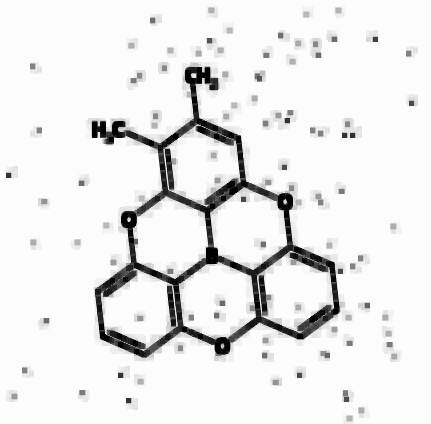 Cc1cc2c3c(c1C)Oc1cccc4c1B3c1c(cccc1O2)O4